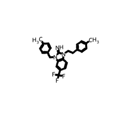 Cc1ccc(CCn2c(=N)n(Cc3ccc(C)cc3)c3cc(C(F)(F)F)ccc32)cc1